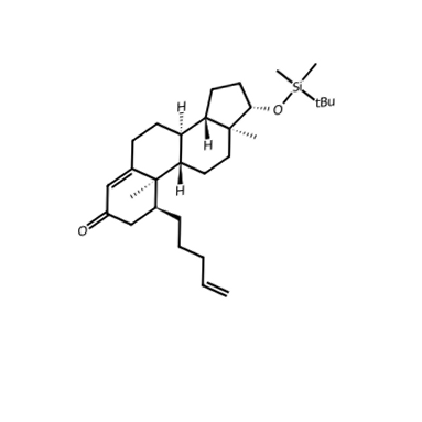 C=CCCC[C@H]1CC(=O)C=C2CC[C@H]3[C@@H]4CC[C@H](O[Si](C)(C)C(C)(C)C)[C@@]4(C)CC[C@@H]3[C@]21C